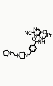 CC(C)CN(NC(=O)c1ccc(CN2CCN(CCN3CCCC3)CC2)cc1)c1nc(C#N)ncc1Cl